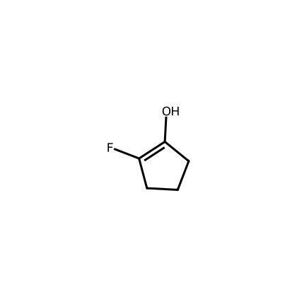 OC1=C(F)CCC1